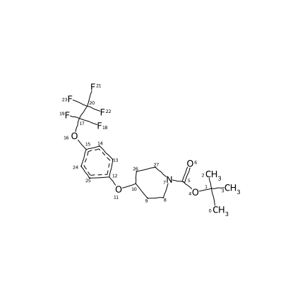 CC(C)(C)OC(=O)N1CCC(Oc2ccc(OC(F)(F)C(F)(F)F)cc2)CC1